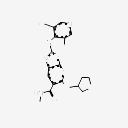 CCNC(=O)c1cc2nc(Nc3c(Cl)cncc3Cl)[nH]c2nc1OC1CCOC1